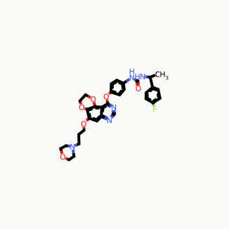 CC(NC(=O)Nc1ccc(Oc2ncnc3cc(OCCCN4CCOCC4)c4c(c23)OCCO4)cc1)c1ccc(F)cc1